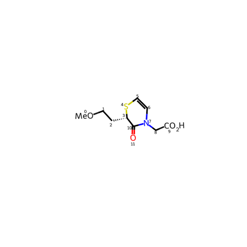 COCC[C@@H]1SC=CN(CC(=O)O)C1=O